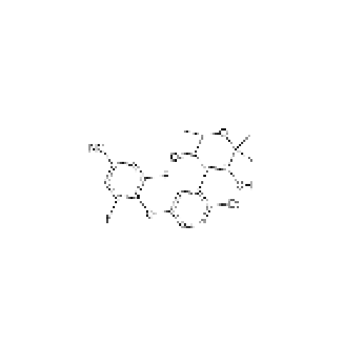 CCc1ccc(Oc2c(F)cc(C#N)cc2F)cc1C1=C(O)C(C)(C)OC(C)(C)C1=O